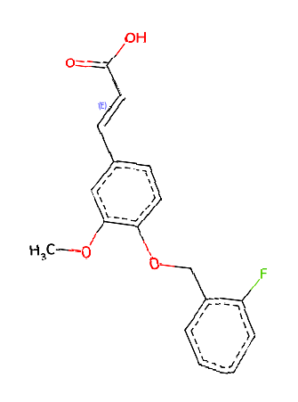 COc1cc(/C=C/C(=O)O)ccc1OCc1ccccc1F